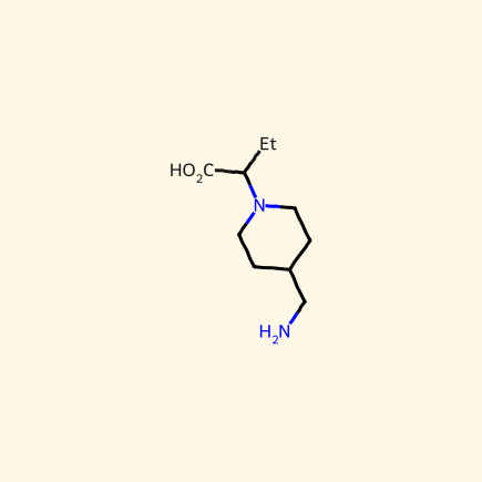 CCC(C(=O)O)N1CCC(CN)CC1